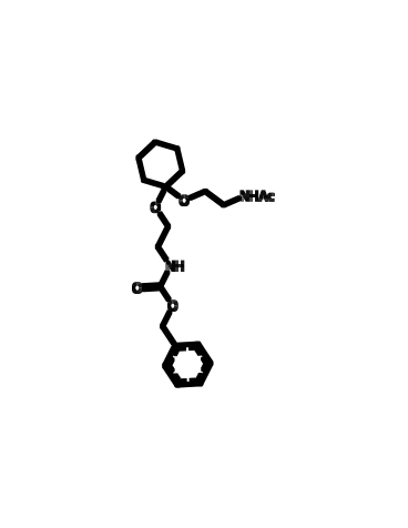 CC(=O)NCCOC1(OCCNC(=O)OCc2ccccc2)CCCCC1